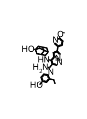 CCc1cc(O)ccc1/N=C(\N)c1cnn2cc(-c3ccc(OC)nc3)cc2c1NC1C2CC3CC1CC(O)(C3)C2